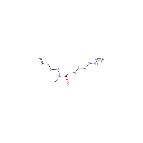 C=CCCCN(C)C(=O)CCCCCNC(=O)O